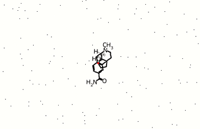 CN1CCC23CCC[C@@]2(O)[C@H]1Cc1ccc(C(N)=O)cc13